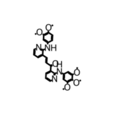 COc1ccc(Nc2ncccc2C=CC(=O)c2cccnc2Nc2cc(OC)c(OC)c(OC)c2)cc1OC